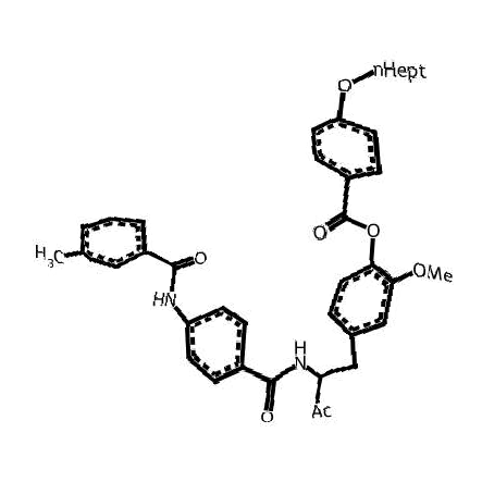 CCCCCCCOc1ccc(C(=O)Oc2ccc(CC(NC(=O)c3ccc(NC(=O)c4cccc(C)c4)cc3)C(C)=O)cc2OC)cc1